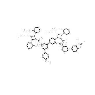 COc1ccccc1C1C(C(=O)O)C(c2ccc(-c3cc(OC(=O)C4C(c5ccccc5OC)[C@@H](C(=O)O)[C@@H]4c4ccccc4OC)cc(-c4ccc(C#N)cc4)c3)cc2OC)C1C(=O)Oc1cccc(-c2ccc3c(c2)NC(=O)C3)c1